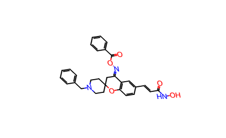 O=C(C=Cc1ccc2c(c1)C(=NOC(=O)c1ccccc1)CC1(CCN(Cc3ccccc3)CC1)O2)NO